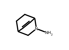 NN1CC2C=CC1CC2